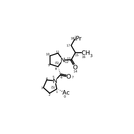 CC(=O)[C@@H]1CCCN1C(=O)[C@@H]1CCCN1C(=O)C(C)CC(C)C